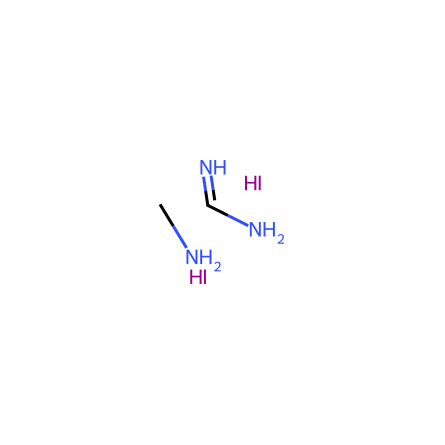 CN.I.I.N=CN